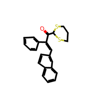 O=C(/C(=C/c1ccc2ccccc2c1)c1ccccc1)C1SCCCS1